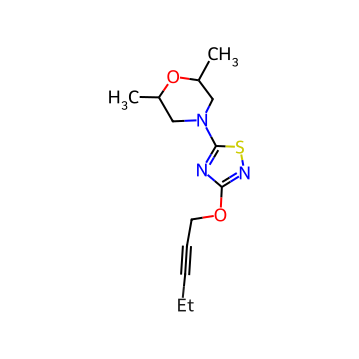 CCC#CCOc1nsc(N2CC(C)OC(C)C2)n1